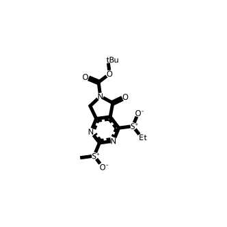 CC[S+]([O-])c1nc([S+](C)[O-])nc2c1C(=O)N(C(=O)OC(C)(C)C)C2